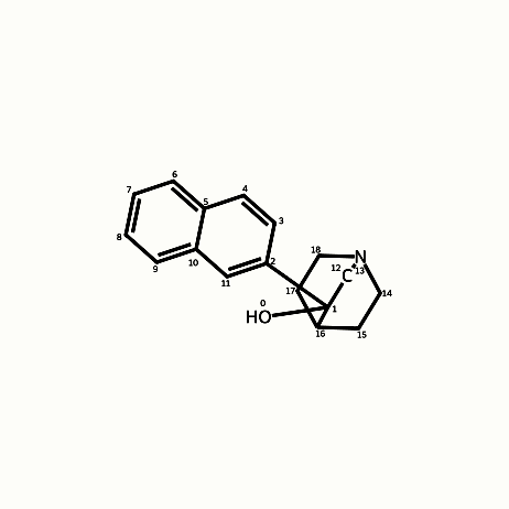 OC1(c2ccc3ccccc3c2)CN2CCC1CC2